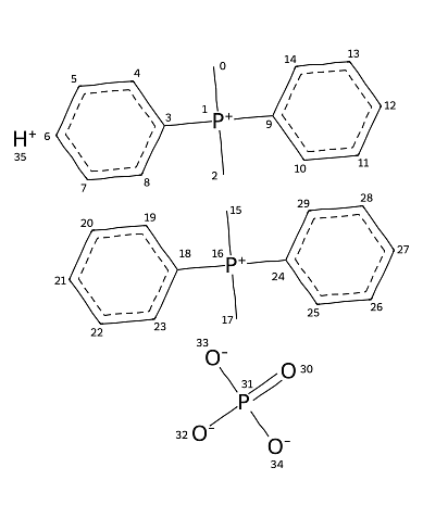 C[P+](C)(c1ccccc1)c1ccccc1.C[P+](C)(c1ccccc1)c1ccccc1.O=P([O-])([O-])[O-].[H+]